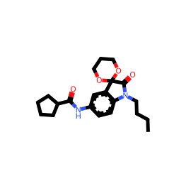 CCCCN1C(=O)C2(OCCCO2)c2cc(NC(=O)C3CCCC3)ccc21